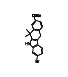 COc1ccc2c(c1)C(C)(C)c1[nH]c3cc(Br)ccc3c1C2